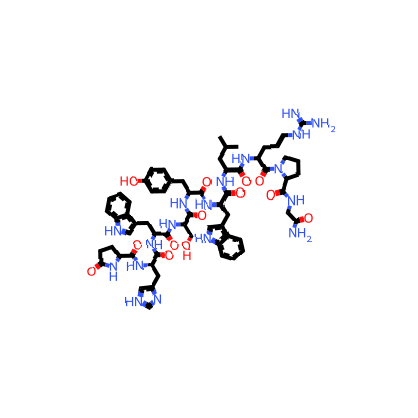 CC(C)CC(NC(=O)C(Cc1c[nH]c2ccccc12)NC(=O)C(Cc1ccc(O)cc1)NC(=O)C(CO)NC(=O)C(Cc1c[nH]c2ccccc12)NC(=O)C(Cc1c[nH]cn1)NC(=O)C1CCC(=O)N1)C(=O)NC(CCCNC(=N)N)C(=O)N1CCCC1C(=O)NCC(N)=O